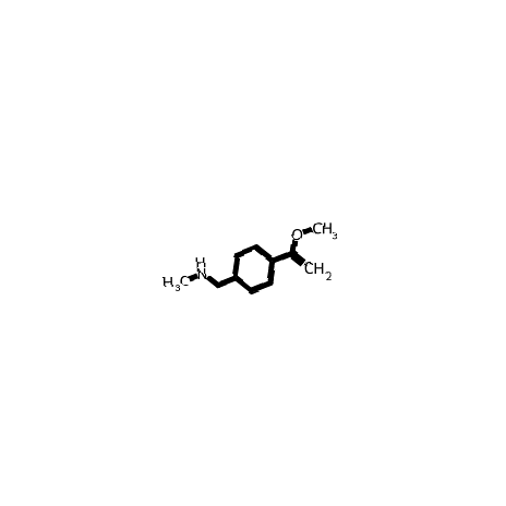 C=C(OC)C1CCC(CNC)CC1